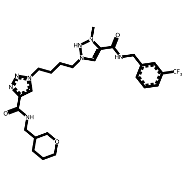 CN1NN(CCCCn2cc(C(=O)NCC3CCCOC3)nn2)C=C1C(=O)NCc1cccc(C(F)(F)F)c1